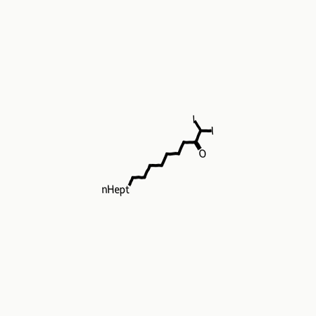 CCCCCCCCCCCCCCC(=O)C(I)I